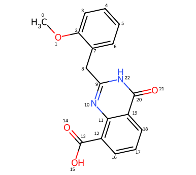 COc1ccccc1Cc1nc2c(C(=O)O)cccc2c(=O)[nH]1